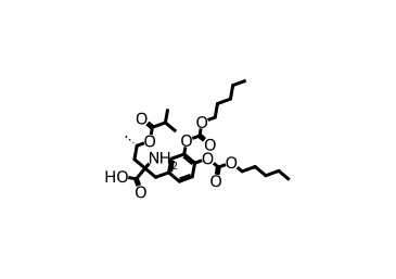 CCCCCOC(=O)Oc1ccc(CC(N)(C[C@H](C)OC(=O)C(C)C)C(=O)O)cc1OC(=O)OCCCCC